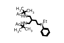 CCN(CCC(CNC(C)(C)C(C)=O)CNC(C)(C)C(C)=O)c1ccccc1